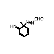 CC1(N=NC=O)C=CC=CC1=N